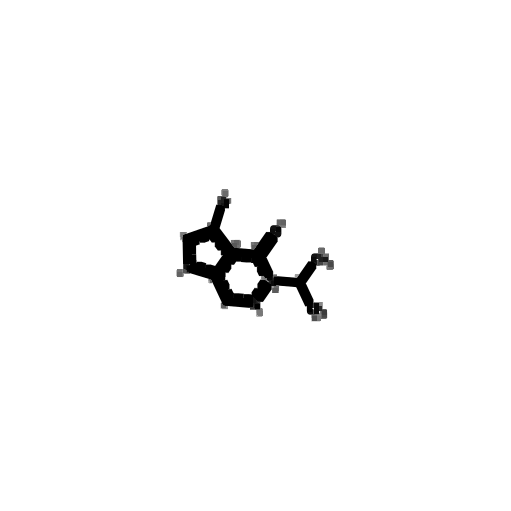 CC(n1ncc2scc(Br)c2c1=O)C(F)(F)F